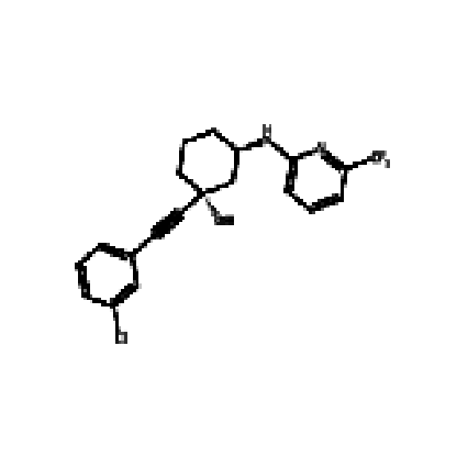 O[C@]1(C#Cc2cccc(Cl)c2)CCC[C@@H](Nc2cccc(C(F)(F)F)n2)C1